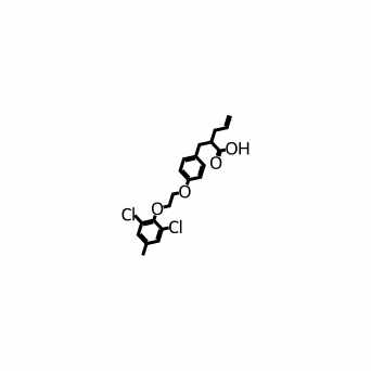 C=CCC(Cc1ccc(OCCOc2c(Cl)cc(C)cc2Cl)cc1)C(=O)O